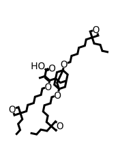 CCCCC1(CCCCCCOC(=C(C)C(=O)O)C23CC4CC(OCCCCCCC5(CCCC)COC5)(CC(OCCCCCCC5(CCCC)COC5)(C4)C2)C3)COC1